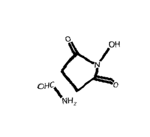 NC=O.O=C1CCC(=O)N1O